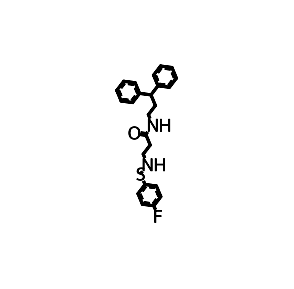 O=C(CCNSc1ccc(F)cc1)NCCC(c1ccccc1)c1ccccc1